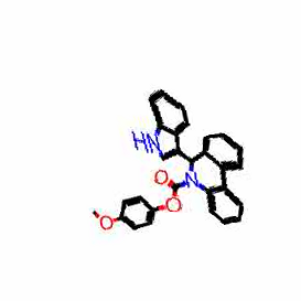 COc1ccc(OC(=O)N2c3ccccc3-c3ccccc3C2c2c[nH]c3ccccc23)cc1